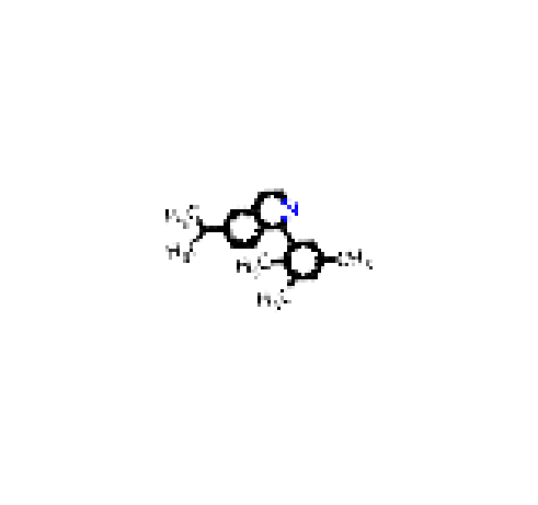 Cc1cc(C)c(C)c(-c2nccc3cc(C(C)C)ccc23)c1